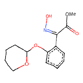 COC(=O)C(=NO)c1ccccc1OC1CCCCO1